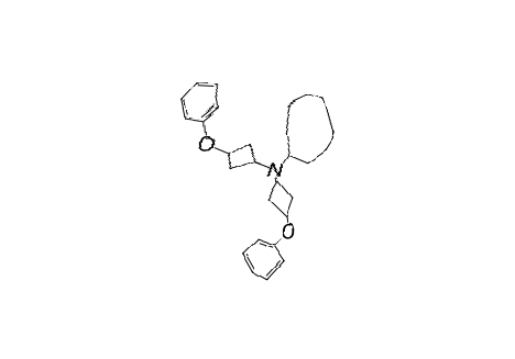 c1ccc(OC2CC(N(C3CCCCCCC3)C3CC(Oc4ccccc4)C3)C2)cc1